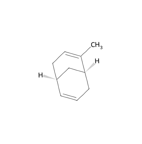 CC1=CC[C@@H]2C=CC[C@H]1C2